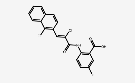 O=C(Nc1ccc(F)cc1C(=O)O)/C(Cl)=C/c1ccc2ccccc2c1Cl